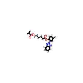 C=C(C)C(=O)OCCCCCC(=O)Oc1ccc(C)cc1-n1nc2ccccc2n1